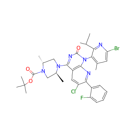 Cc1cc(Br)nc(C(C)C)c1-n1c(=O)nc(N2C[C@@H](C)N(C(=O)OC(C)(C)C)C[C@@H]2C)c2cc(Cl)c(-c3ccccc3F)nc21